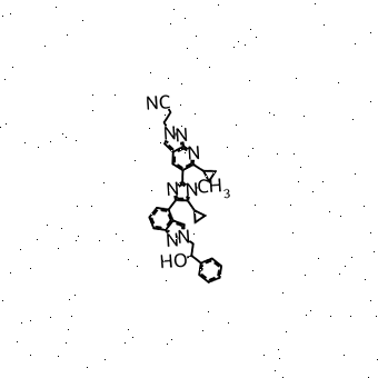 Cn1c(-c2cc3cn(CCC#N)nc3nc2C2CC2)nc(-c2cccc3nn(C[C@H](O)c4ccccc4)cc23)c1C1CC1